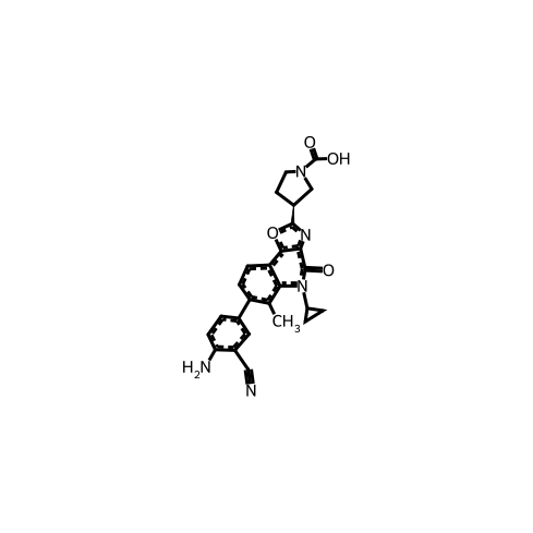 Cc1c(-c2ccc(N)c(C#N)c2)ccc2c3oc([C@H]4CCN(C(=O)O)C4)nc3c(=O)n(C3CC3)c12